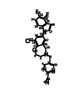 N#Cc1ncc(CN2CCOc3c(Cl)cc(-n4ccc5c(F)c(F)ccc54)cc3C2)cn1